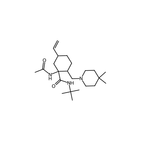 C=CC1CCC(CN2CCC(C)(C)CC2)C(NC(C)=O)(C(=O)NC(C)(C)C)C1